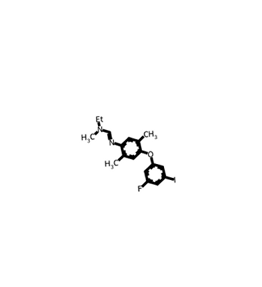 CCN(C)C=Nc1cc(C)c(Oc2cc(F)cc(I)c2)cc1C